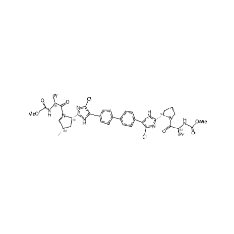 COC(=O)N[C@H](C(=O)N1CCC[C@H]1c1nc(Cl)c(-c2ccc(-c3ccc(-c4[nH]c([C@@H]5C[C@H](C)CN5C(=O)[C@@H](NC(=O)OC)C(C)C)nc4Cl)cc3)cc2)[nH]1)C(C)C